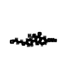 COc1ccc2nc(-c3ccc(OCCCCl)cc3)n(C)c(=O)c2c1